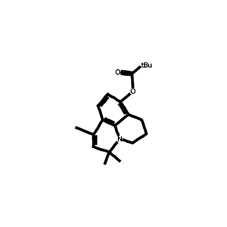 CC1=CC(C)(C)N2CCCc3c(OC(=O)C(C)(C)C)ccc1c32